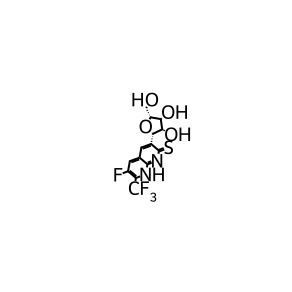 OC[C@H]1O[C@@H](c2cc3cc(F)c(C(F)(F)F)[nH]c-3nc2=S)[C@@H](O)C1O